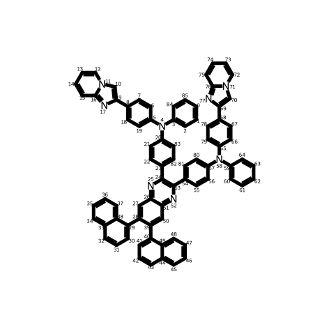 c1ccc(N(c2ccc(-c3cn4ccccc4n3)cc2)c2ccc(-c3nc4cc(-c5cccc6ccccc56)c(-c5cccc6ccccc56)cc4nc3-c3ccc(N(c4ccccc4)c4ccc(-c5cn6ccccc6n5)cc4)cc3)cc2)cc1